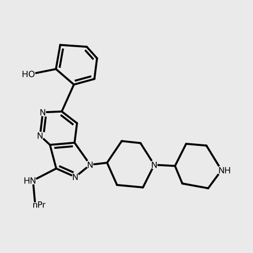 CCCNc1nn(C2CCN(C3CCNCC3)CC2)c2cc(-c3ccccc3O)nnc12